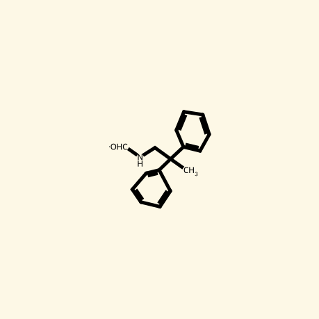 CC(CN[C]=O)(c1ccccc1)c1ccccc1